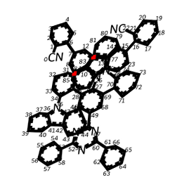 N#Cc1ccccc1-c1ccc2c(c1)c1cc(-c3ccccc3C#N)ccc1n2-c1c(-c2ccccc2-n2c3ccccc3c3ccccc32)cc(-c2nc(-c3ccccc3)nc(-c3ccccc3)n2)cc1-c1ccccc1-n1c2ccccc2c2ccccc21